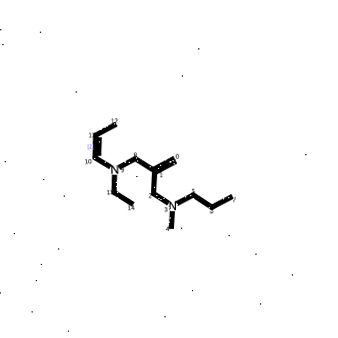 C=C(CN(C)CCC)CN(/C=C\C)CC